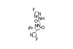 CC(C)c1nn(CC(=O)Nc2ncc(F)cn2)c(=O)cc1-c1cncc(F)c1